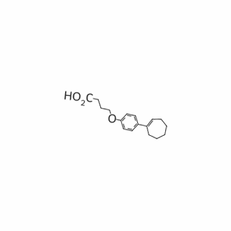 O=C(O)CCCOc1ccc(C2=CCCCCC2)cc1